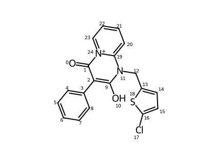 O=c1c(-c2ccccc2)c(O)n(Cc2ccc(Cl)s2)c2cccc[n+]12